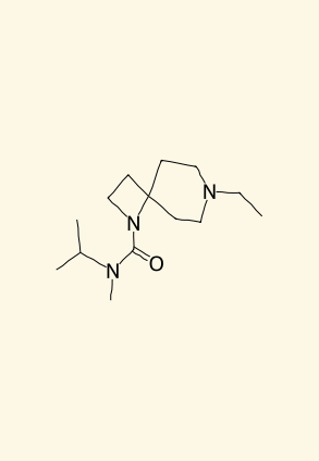 CCN1CCC2(CC1)CCN2C(=O)N(C)C(C)C